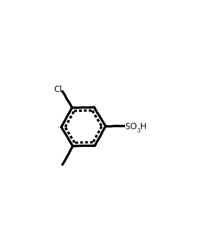 Cc1[c]c(Cl)cc(S(=O)(=O)O)c1